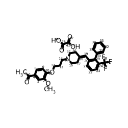 COc1cc(C(C)=O)ccc1OCCCN1CCC(=Cc2cccc(C(F)(F)F)c2-c2ccccc2)CC1.O=C(O)C(=O)O